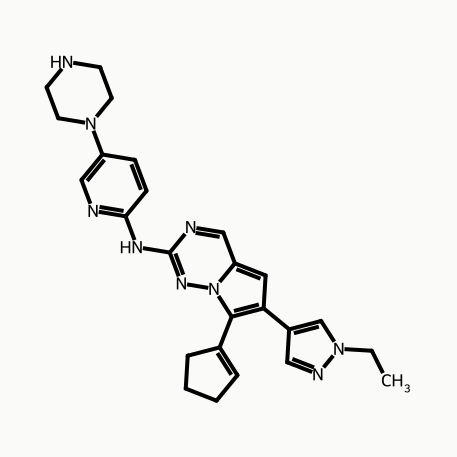 CCn1cc(-c2cc3cnc(Nc4ccc(N5CCNCC5)cn4)nn3c2C2=CCCC2)cn1